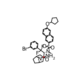 CN([C@H](C(=O)N1C2CCC1CC(N)C2)C(F)(F)c1cccc(Br)c1)S(=O)(=O)c1ccc2cc(OC3CCCC3)ccc2c1